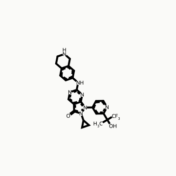 CC(O)(c1cc(-n2c3nc(Nc4ccc5c(c4)CNCC5)ncc3c(=O)n2C2CC2)ccn1)C(F)(F)F